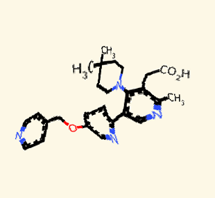 Cc1ncc(-c2ccc(OCc3ccncc3)cn2)c(N2CCC(C)(C)CC2)c1CC(=O)O